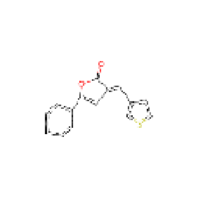 O=C1OC(c2ccccc2)=C/C1=C\c1ccsc1